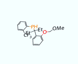 CCC(CC)(Pc1ccccc1C(F)(F)F)c1ccccc1OCOC